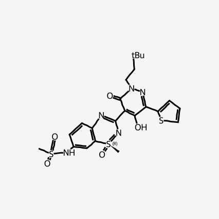 CC(C)(C)CCn1nc(-c2cccs2)c(O)c(C2=Nc3ccc(NS(C)(=O)=O)cc3[S@@](C)(=O)=N2)c1=O